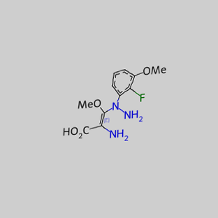 CO/C(=C(/N)C(=O)O)N(N)c1cccc(OC)c1F